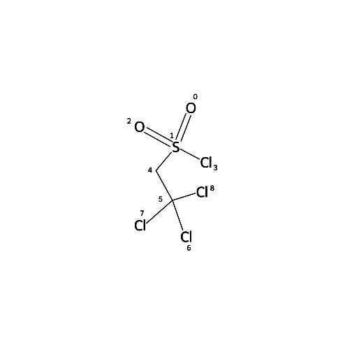 O=S(=O)(Cl)CC(Cl)(Cl)Cl